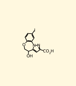 O=C(O)c1cc2n(n1)-c1cc(I)ccc1OCC2O